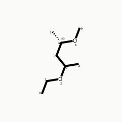 CCOC(C)C[C@H](C)OC